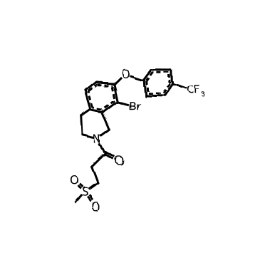 CS(=O)(=O)CCC(=O)N1CCc2ccc(Oc3ccc(C(F)(F)F)cc3)c(Br)c2C1